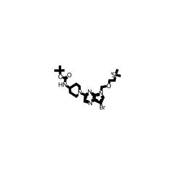 CC(C)(C)OC(=O)NC1CCN(c2cnc3c(Br)cn(COCC[Si](C)(C)C)c3n2)CC1